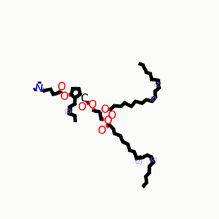 CC/C=C\CC1C(CC(=O)OCC(COC(=O)CCCCCCC/C=C\C/C=C\CCCCC)OC(=O)CCCCCCC/C=C\C/C=C\CCCCC)CCC1OC(=O)CCCN(C)C